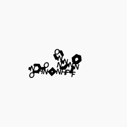 CN1CCC(C(=O)N[C@H]2C[C@H](Nc3cc(-n4c(C(F)F)nc5ccccc54)nc(N4CCOCC4)n3)C2)CC1=O